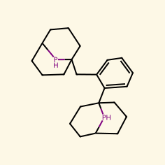 c1ccc(C23CCCC(CCC2)P3)c(CC23CCCC(CCC2)P3)c1